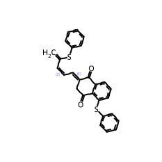 C=C(/C=C\C=C1/CC(=O)c2c(Sc3ccccc3)cccc2C1=O)Sc1ccccc1